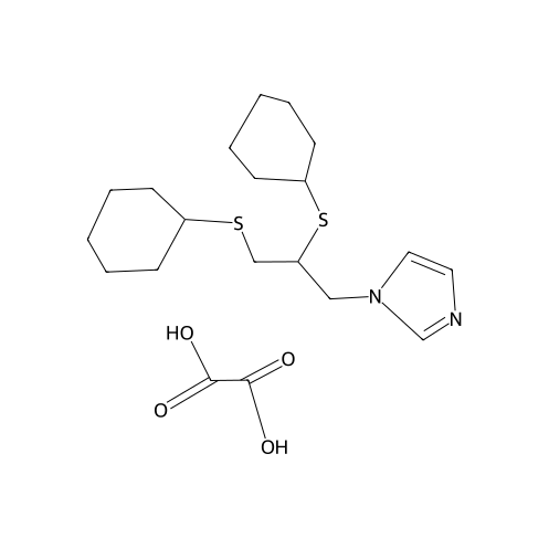 O=C(O)C(=O)O.c1cn(CC(CSC2CCCCC2)SC2CCCCC2)cn1